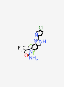 NC1=N[C@](CF)(c2cc3c(cc2F)CNC(c2ccc(Cl)cn2)=N3)C(C(F)(F)F)CO1